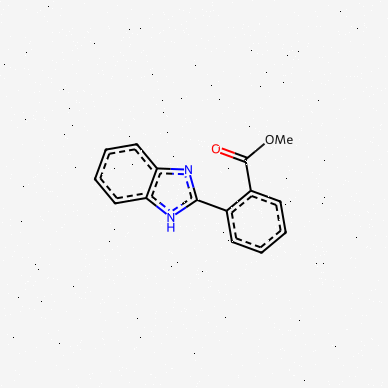 COC(=O)c1ccccc1-c1nc2ccccc2[nH]1